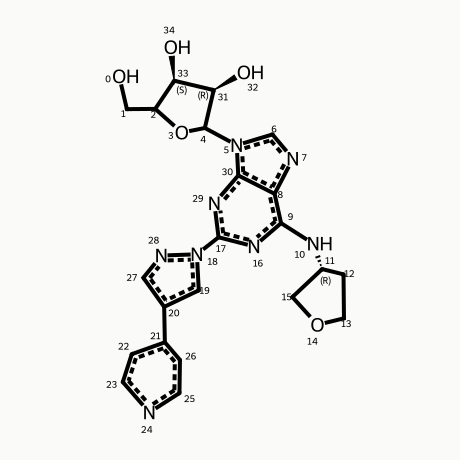 OCC1OC(n2cnc3c(N[C@@H]4CCOC4)nc(-n4cc(-c5ccncc5)cn4)nc32)[C@H](O)[C@@H]1O